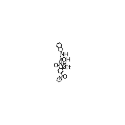 CCOc1cc(C(=O)N2CCCC2)ccc1C(=O)NC[C@@H](O)CNC1Cc2ccccc2C1